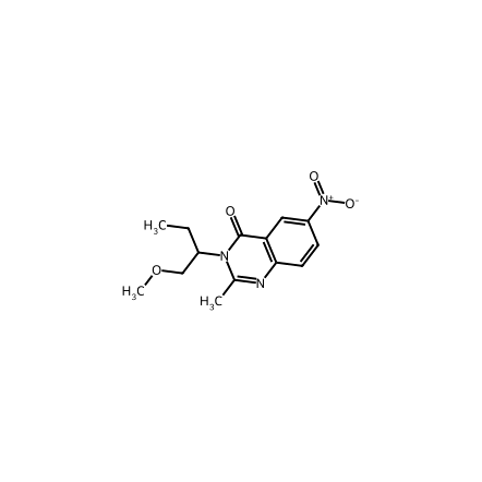 CCC(COC)n1c(C)nc2ccc([N+](=O)[O-])cc2c1=O